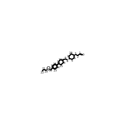 C=CCC[C@H]1CC[C@H](CCC2CCC(c3ccc(COCCC)cc3)CC2)CC1